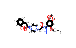 COc1cc2c(cc1NC(=O)CN1CCN(C(=O)Cc3ccccc3O)CC1)OCO2